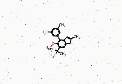 COc1c(C(C)(C)C)cc2c(c1-c1cc(C)cc(C)c1)C=C(C)C2